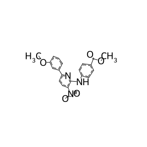 COC(=O)c1ccc(Nc2nc(-c3cccc(OC)c3)ccc2[N+](=O)[O-])cc1